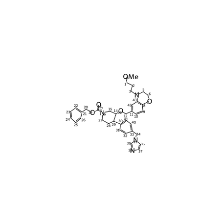 COCCCN1CCOc2ccc(COC3CN(C(=O)OCc4ccccc4)CCC3c3ccc(Cn4ccnc4)cc3)cc21